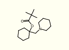 CC(C)(C)C(=O)OC1(CN2CCCCC2)CCCCC1